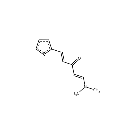 CN(C)/C=C/C(=O)/C=C/c1cccs1